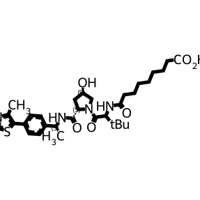 Cc1ncsc1-c1ccc([C@H](C)NC(=O)[C@@H]2C[C@@H](O)CN2C(=O)C(NC(=O)CCCCCCCC(=O)O)C(C)(C)C)cc1